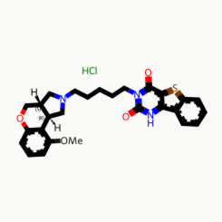 COc1cccc2c1[C@@H]1CN(CCCCCn3c(=O)[nH]c4c(sc5ccccc54)c3=O)C[C@H]1CO2.Cl